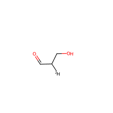 [2H]C(C=O)CO